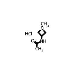 CC(=O)NC1CN(C)C1.Cl